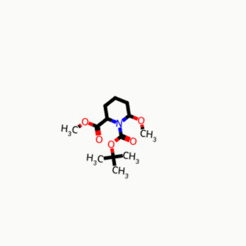 COC(=O)C1CCCC(OC)N1C(=O)OC(C)(C)C